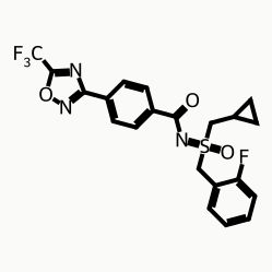 O=C(N=S(=O)(Cc1ccccc1F)CC1CC1)c1ccc(-c2noc(C(F)(F)F)n2)cc1